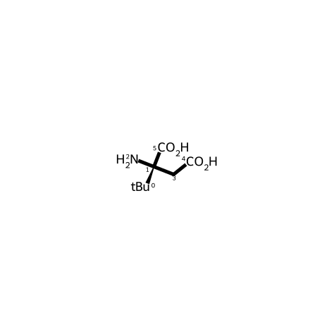 CC(C)(C)[C@](N)(CC(=O)O)C(=O)O